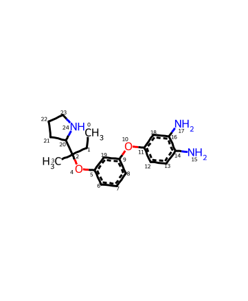 CCC(C)(Oc1cccc(Oc2ccc(N)c(N)c2)c1)C1CCCN1